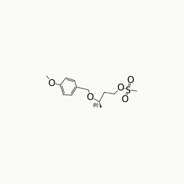 COc1ccc(CO[C@H](C)CCOS(C)(=O)=O)cc1